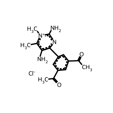 CC(=O)c1cc(C(C)=O)cc(-c2nc(N)[n+](C)c(C)c2N)c1.[Cl-]